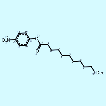 CCCCCCCCCCCCCCCCCCCC(=O)Oc1ccc([N+](=O)[O-])cc1